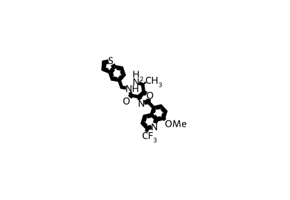 COc1ccc(-c2nc(C(=O)NCc3ccc4sccc4c3)c([C@H](C)N)o2)c2ccc(C(F)(F)F)nc12